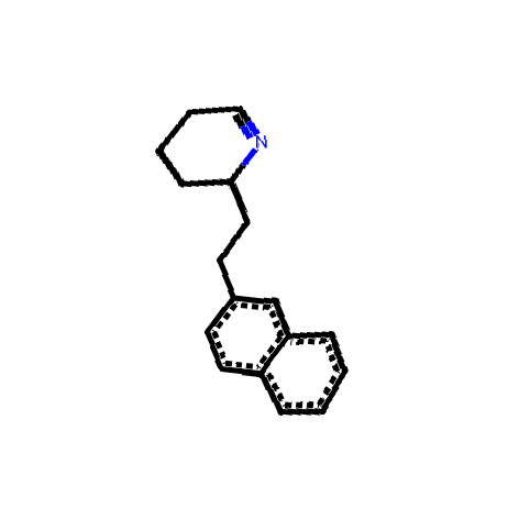 C1=NC(CCc2ccc3ccccc3c2)CCC1